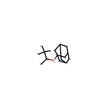 CC(OC12CC3CC(CC(C3)C1)C2)C(C)(C)C